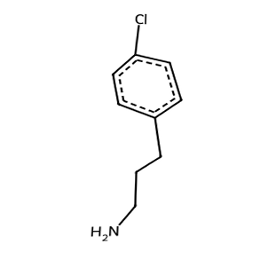 NCCCc1ccc(Cl)cc1